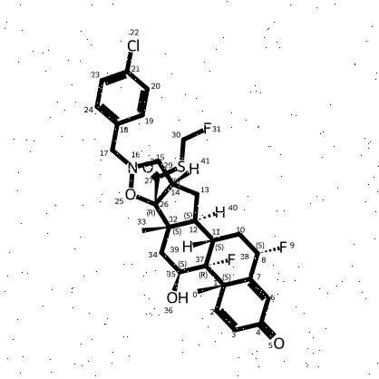 C[C@]12C=CC(=O)C=C1[C@@H](F)C[C@H]1[C@@H]3C[C@H]4CN(Cc5ccc(Cl)cc5)O[C@@]4(C(=O)SCF)[C@@]3(C)C[C@H](O)[C@@]12F